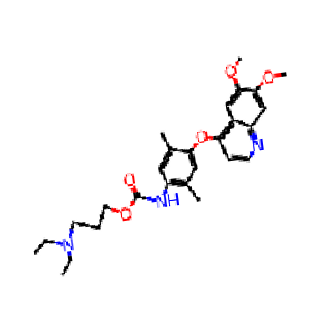 CCN(CC)CCCOC(=O)Nc1cc(C)c(Oc2ccnc3cc(OC)c(OC)cc23)cc1C